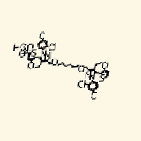 O=S(=O)(O)c1cc2c(s1)-c1c(c(COCCCCCCOCc3nn(-c4ccc(Cl)cc4Cl)c4c3CCOc3ccsc3-4)nn1-c1ccc(Cl)cc1Cl)CCO2